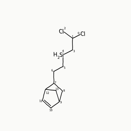 ClC(Cl)C[SiH2]CCC1CC2C=CC1C2